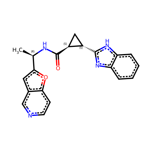 C[C@@H](NC(=O)[C@H]1C[C@@H]1c1nc2ccccc2[nH]1)c1cc2cnccc2o1